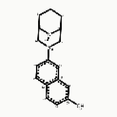 CN1C2CCCC1CN(c1ccc3ccc(O)cc3c1)C2